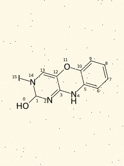 OC1N=C2Nc3ccccc3OC2=CN1I